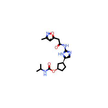 Cc1cc(CC(=O)Nc2ncc([C@H]3CC[C@@H](OC(=O)NC(C)C)C3)[nH]2)on1